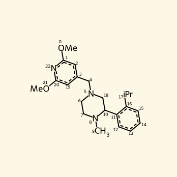 COc1cc(CN2CCN(C)C(c3ccccc3C(C)C)C2)cc(OC)n1